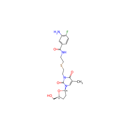 Cc1cn([C@H]2CC[C@@H](CO)O2)c(=O)n(CCSCCNC(=O)c2ccc(F)c(N)c2)c1=O